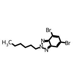 CCCCCCn1nc2cc(Br)cc(Br)c2n1